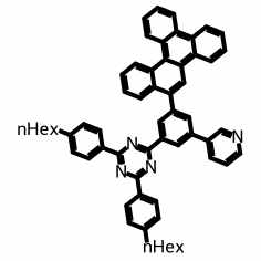 CCCCCCc1ccc(-c2nc(-c3ccc(CCCCCC)cc3)nc(-c3cc(-c4cccnc4)cc(-c4cc5c6ccccc6c6ccccc6c5c5ccccc45)c3)n2)cc1